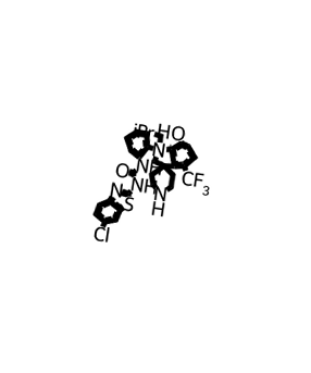 CC(C)C[N+]1(c2ccccc2NC(=O)Nc2nc3ccc(Cl)cc3s2)CC2(CCNCC2)c2c(C(F)(F)F)ccc(O)c21